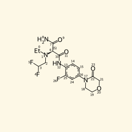 CCN(CC(F)F)[C@@H](C(N)=O)C(=O)Nc1ccc(N2CCOCC2=O)cc1F